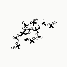 CCCC(C)(C)OOC(=O)OCC(C)(COC(=O)OCC(C)(COC(=O)OOC(C)(C)CCC)COC(=O)OOC(C)(C)CCC)COC(=O)OOC(C)(C)CCC